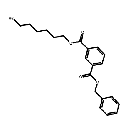 CC(C)CCCCCCOC(=O)c1cccc(C(=O)OCc2ccccc2)c1